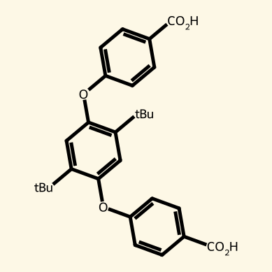 CC(C)(C)c1cc(Oc2ccc(C(=O)O)cc2)c(C(C)(C)C)cc1Oc1ccc(C(=O)O)cc1